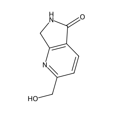 O=C1NCc2nc(CO)ccc21